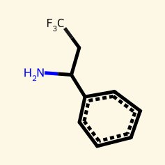 NC(CC(F)(F)F)c1ccccc1